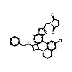 O=C1CCC(=O)N1Cc1cc2nccc(-c3cc(Cl)cc4c3N(C3CC(OCc5ccccc5)C3)CCC4)c2s1